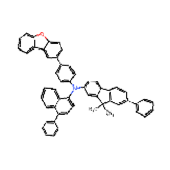 CC1(C)c2cc(-c3ccccc3)ccc2-c2ccc(N(c3ccc(-c4ccc5oc6ccccc6c5c4)cc3)c3ccc(-c4ccccc4)c4ccccc34)cc21